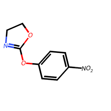 O=[N+]([O-])c1ccc(OC2=NCCO2)cc1